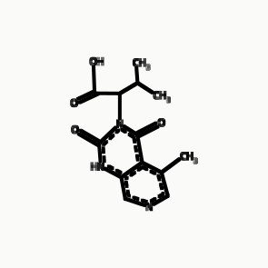 Cc1cncc2[nH]c(=O)n(C(C(=O)O)C(C)C)c(=O)c12